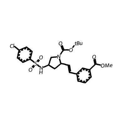 COC(=O)c1cccc(C=CC2CC(NS(=O)(=O)c3ccc(Cl)cc3)CN2C(=O)OC(C)(C)C)c1